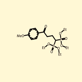 CCOP(=O)(OCC)C(CCC(=O)c1ccc(OC)cc1)P(=O)(OCC)OCC